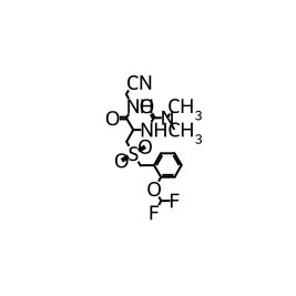 CN(C)C(=O)NC(CS(=O)(=O)Cc1ccccc1OC(F)F)C(=O)NCC#N